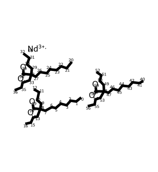 CCCCCCCCC(CCCC)(CCCC)C(=O)[O-].CCCCCCCCC(CCCC)(CCCC)C(=O)[O-].CCCCCCCCC(CCCC)(CCCC)C(=O)[O-].[Nd+3]